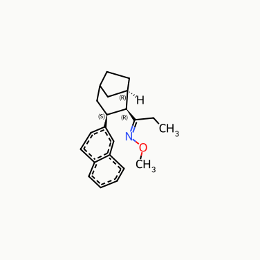 CCC(=NOC)[C@@H]1[C@@H]2CCC(C2)C[C@@H]1c1ccc2ccccc2c1